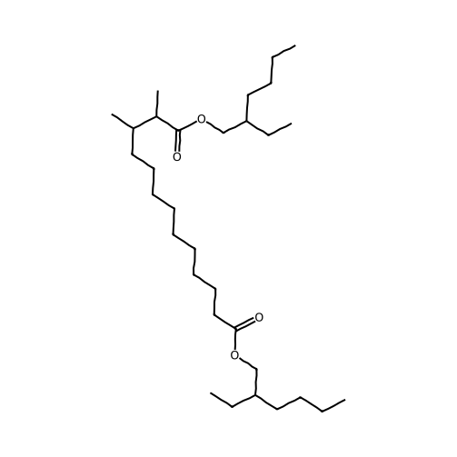 CCCCC(CC)COC(=O)CCCCCCCCCC(C)C(C)C(=O)OCC(CC)CCCC